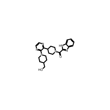 O=C(c1nc2ccccc2[nH]1)N1CCC(c2nccnc2N2CCC(CO)CC2)CC1